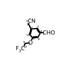 N#CCc1cc(C=O)cc(OCC(F)(F)F)c1